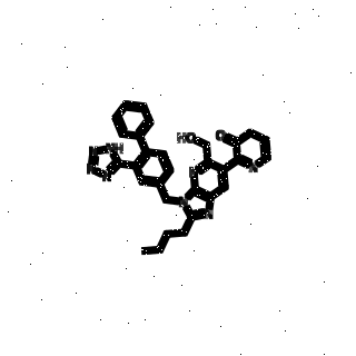 CCCCc1nc2cc(C3=NC=CCC3=O)c(CO)nc2n1Cc1ccc(-c2ccccc2)c(-c2nnn[nH]2)c1